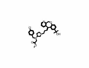 COC(=O)CN(Cc1ccc(Cl)cc1)C1CCN(CCC=C2c3cc(C(C)(C)O)ccc3OCc3ncccc32)C1